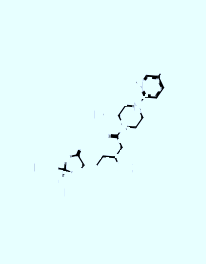 CC(CC[C@@H]1OC(C)(C)OC1=O)CC(=O)N1CCN(c2ccc(Cl)cn2)C[C@H]1C